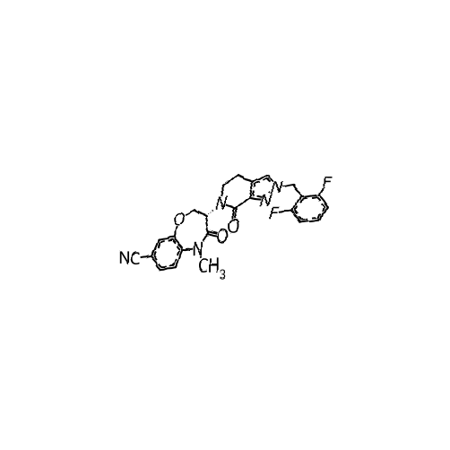 CN1C(=O)[C@@H](N2CCc3cn(Cc4c(F)cccc4F)nc3C2=O)COc2cc(C#N)ccc21